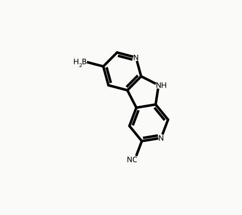 Bc1cnc2[nH]c3cnc(C#N)cc3c2c1